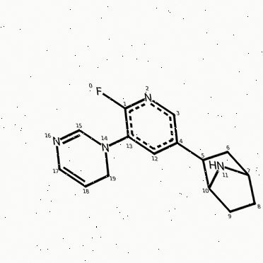 Fc1ncc(C2CC3CCC2N3)cc1N1C=NC=CC1